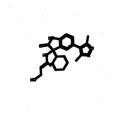 Cc1noc(C)c1-c1ccc2c(c1)C(NC(=CCO)C(C)C)(C1CCCCC1)C(=O)N2